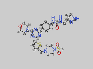 CS(=O)(=O)N1CCN(Cc2ccc(-c3nc(-c4ccc(NC(=O)NCc5cc[nH]n5)cc4)nc(N4CCOCC4)n3)s2)CC1